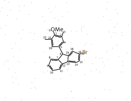 COc1c(C)cc(C2c3ccccc3-c3ccc(Br)cc32)cc1C